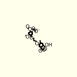 COc1cc(OC=O)c([N+](=O)[O-])cc1OCCCOc1cc([N+](=O)[O-])c(C(=O)O)cc1C